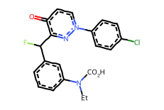 CCN(C(=O)O)c1cccc(C(F)c2nn(-c3ccc(Cl)cc3)ccc2=O)c1